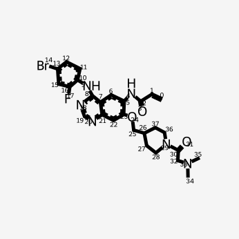 C=CC(=O)Nc1cc2c(Nc3ccc(Br)cc3F)ncnc2cc1OCC1CCN(C(=O)CN(C)C)CC1